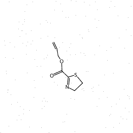 C=CCOC(=O)C1=NCCS1